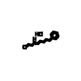 Cl.ClCCNCCCCCc1ccccc1